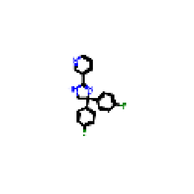 Fc1ccc(C2(c3ccc(F)cc3)CNC(c3cccnc3)=N2)cc1